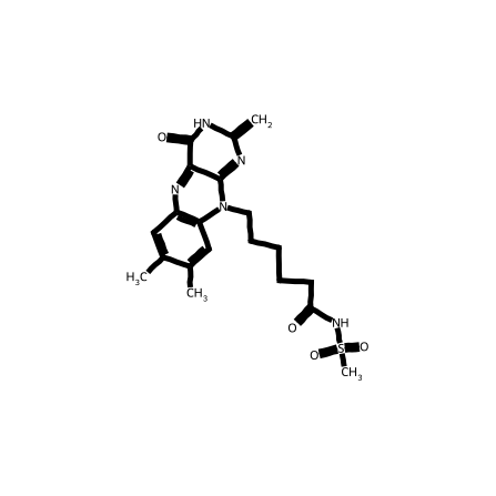 C=c1nc2c(c(=O)[nH]1)=Nc1cc(C)c(C)cc1N2CCCCCC(=O)NS(C)(=O)=O